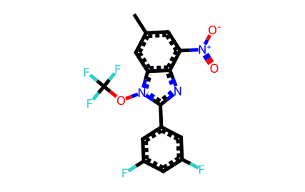 Cc1cc([N+](=O)[O-])c2nc(-c3cc(F)cc(F)c3)n(OC(F)(F)F)c2c1